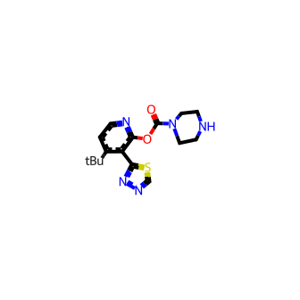 CC(C)(C)c1ccnc(OC(=O)N2CCNCC2)c1-c1nncs1